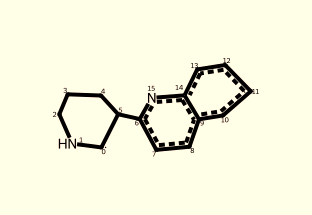 [CH]1NCCCC1c1ccc2ccccc2n1